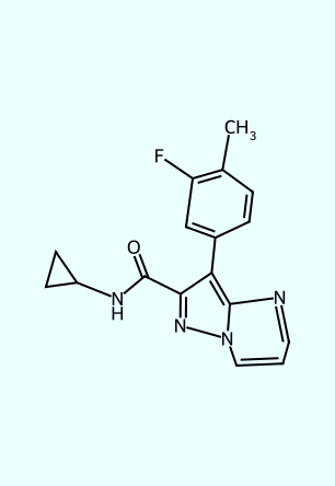 Cc1ccc(-c2c(C(=O)NC3CC3)nn3cccnc23)cc1F